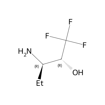 CC[C@@H](N)[C@@H](O)C(F)(F)F